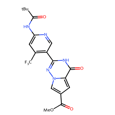 COC(=O)c1cc2c(=O)[nH]c(-c3cnc(NC(=O)C(C)(C)C)cc3C(F)(F)F)nn2c1